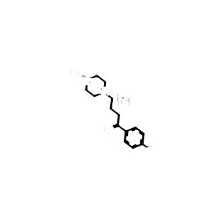 CCN1CCN(CCCC(=O)c2ccc(F)cc2)CC1.Cl.Cl